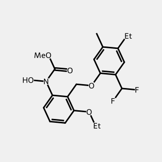 CCOc1cccc(N(O)C(=O)OC)c1COc1cc(C)c(CC)cc1C(F)F